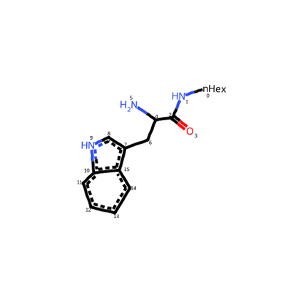 CCCCCCNC(=O)C(N)Cc1c[nH]c2ccccc12